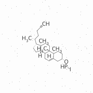 C#CCC[C@@H](C)[C@H]1CC[C@H]2[C@@H]3CC=C4C[C@@H](OPI)CC[C@]4(C)[C@@]3(C)CC[C@]12C